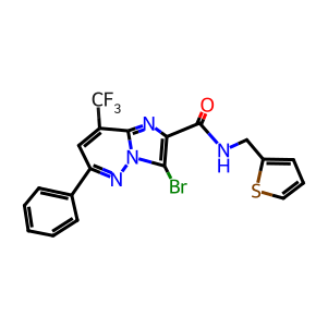 O=C(NCc1cccs1)c1nc2c(C(F)(F)F)cc(-c3ccccc3)nn2c1Br